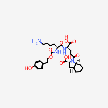 NCCCC[C@H](NC(=O)OCCc1ccc(O)cc1)C(=O)N[C@H](CCC(=O)N1[C@H](C(=O)O)C[C@@H]2CCCC[C@@H]21)C(=O)O